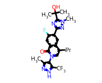 Cc1n[nH]c(C(F)(F)F)c1-n1cc(C(C)C)c2cc(-c3nc(C(C)(C)O)n(C)n3)c(F)cc2c1=O